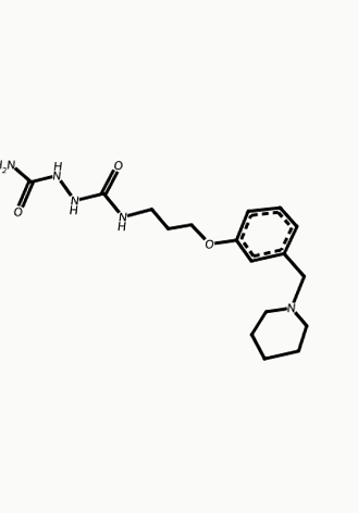 NC(=O)NNC(=O)NCCCOc1cccc(CN2CCCCC2)c1